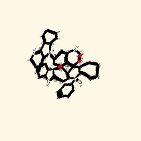 O=P1(c2ccccc2)c2ccccc2C2(c3ccccc3Sc3cc(-n4c5ccccc5c5ncccc54)ccc32)c2cc3c(cc21)oc1ccccc13